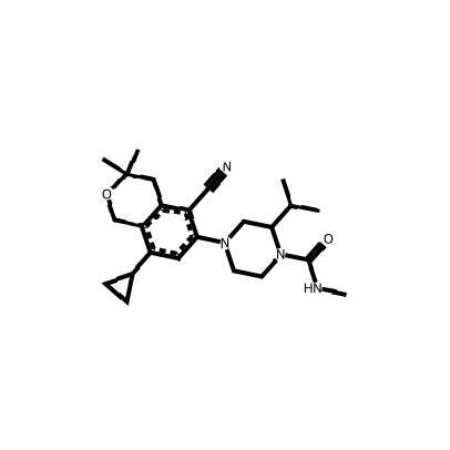 CNC(=O)N1CCN(c2cc(C3CC3)c3c(c2C#N)CC(C)(C)OC3)CC1C(C)C